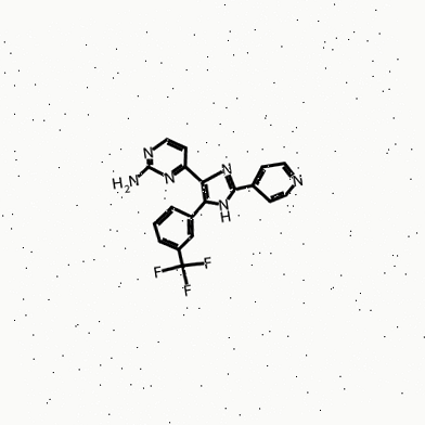 Nc1nccc(-c2nc(-c3ccncc3)[nH]c2-c2cccc(C(F)(F)F)c2)n1